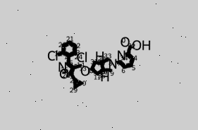 O=C(O)c1cccc(N2C[C@H]3C[C@H](OCc4c(-c5c(Cl)cccc5Cl)noc4C4CC4)C[C@H]3C2)n1